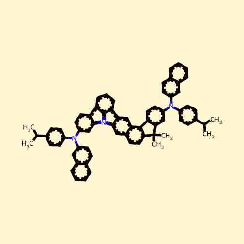 CC(C)c1ccc(N(c2ccc3c(c2)C(C)(C)c2ccc4cc5c(cc4c2-3)c2cccc3c4ccc(N(c6ccc(C(C)C)cc6)c6ccc7ccccc7c6)cc4n5c32)c2ccc3ccccc3c2)cc1